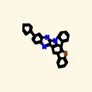 c1ccc(-c2ccc3nc4c5cc6c7ccccc7sc6c6c7ccccc7n(c4nc3c2)c56)cc1